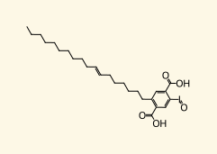 CCCCCCCCCC/C=C/CCCCCCc1cc(C(=O)O)c(I=O)cc1C(=O)O